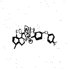 Cc1ccc(F)c2c1CCN(S(=O)(=O)c1ccc(Oc3ccc(F)cc3)cc1)C2C(=O)NO